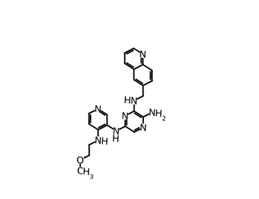 COCCNc1ccncc1Nc1cnc(N)c(NCc2ccc3ncccc3c2)n1